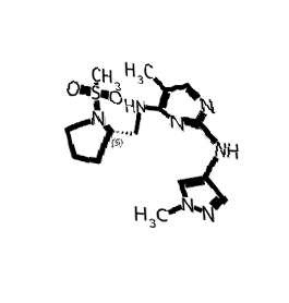 Cc1cnc(Nc2cnn(C)c2)nc1NC[C@@H]1CCCN1S(C)(=O)=O